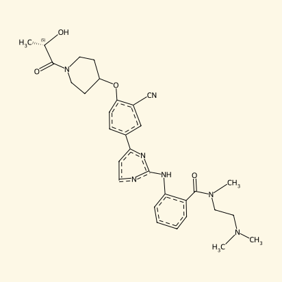 C[C@H](O)C(=O)N1CCC(Oc2ccc(-c3ccnc(Nc4ccccc4C(=O)N(C)CCN(C)C)n3)cc2C#N)CC1